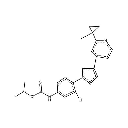 CC(C)OC(=O)Nc1ccc(-c2cc(-c3ccnc(C4(C)CC4)c3)cs2)c(Cl)c1